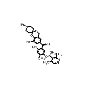 COc1cc(N)c(C(=N)c2cc(C#N)c3c(c2)COC2(CCN(C(C)C)CC2)O3)cc1O[C@H](N)c1c(C)cnnc1C